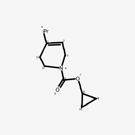 CC(C)C1=CCN(C(=O)OC2CC2)CC1